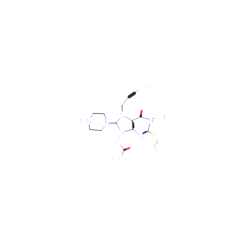 CC#CCN1c2c(nc(SCC)n(C)c2=O)N(OC(=O)C(F)(F)F)C1N1CCNCC1